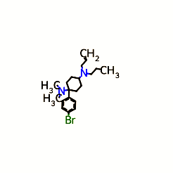 C=CCN(CCC)C1CCC(c2ccc(Br)cc2)(N(C)C)CC1